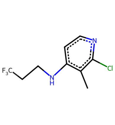 Cc1c(NCCC(F)(F)F)ccnc1Cl